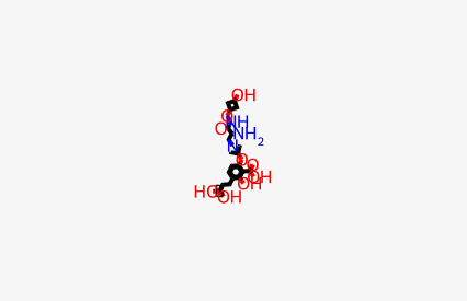 NC(CN1CC(Oc2ccc(CCB(O)O)c(O)c2C(=O)O)C1)C(=O)NOC1CC(O)C1